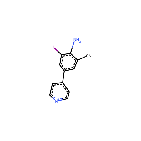 N#Cc1cc(-c2ccncc2)cc(I)c1N